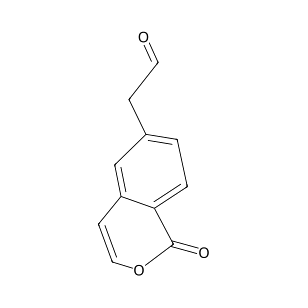 O=CCc1ccc2c(=O)occc2c1